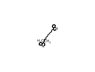 CC(C)(CCCCCCCCCc1ccnc2ccccc12)c1ccnc2ccccc12